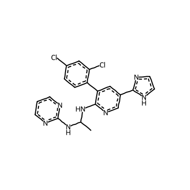 CC(Nc1ncccn1)Nc1ncc(-c2ncc[nH]2)cc1-c1ccc(Cl)cc1Cl